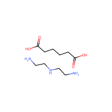 NCCNCCN.O=C(O)CCCCC(=O)O